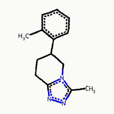 Cc1ccccc1C1CCc2nnc(C)n2C1